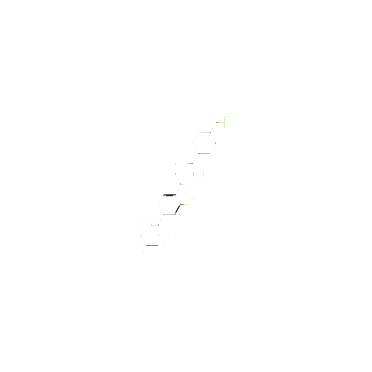 CC1COC(C2C=C(F)C(C3COC(C4CCC(CF)CC4)OC3)=CC2)OC1